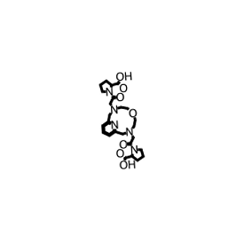 O=C(O)C1CCCN1C(=O)CN1CCOCCN(CC(=O)N2CCCC2C(=O)O)Cc2cccc(n2)C1